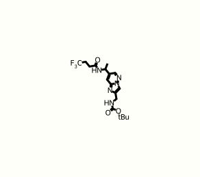 CC(NC(=O)CCC(F)(F)F)c1cnn2cc(CNC(=O)OC(C)(C)C)nc2c1